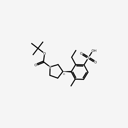 CCc1c(S(=O)(=O)O)ccc(C)c1[C@H]1CCN(C(=O)OC(C)(C)C)C1